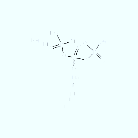 O=P(O)(O)OP(=O)([O-])OP(=O)(O)O.[HH].[HH].[HH].[HH].[HH].[HH].[Na+]